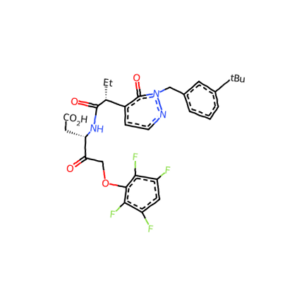 CC[C@@H](C(=O)N[C@@H](CC(=O)O)C(=O)COc1c(F)c(F)cc(F)c1F)c1ccnn(Cc2cccc(C(C)(C)C)c2)c1=O